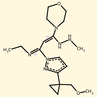 CC/N=C(\C=C(/NNC)N1CCOCC1)n1ccc(C2(COC)CC2)n1